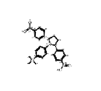 C[Si](C)(C)c1ccc(N2[C@H](c3ccc([N+](=O)[O-])cc3)CC[C@H]2c2ccc([N+](=O)[O-])cc2)cc1